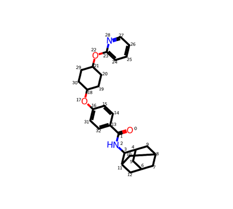 O=C(NC1C2CC3CC(C2)CC1C3)c1ccc(OC2CCC(Oc3ccccn3)CC2)cc1